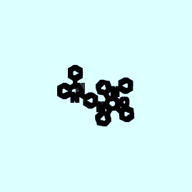 c1ccc(-c2nc(-c3ccc(-n4c5ccccc5c5c6c7ccccc7oc6c6c(c7ccccc7n6-c6ccccc6)c54)cc3)nc3ccccc23)cc1